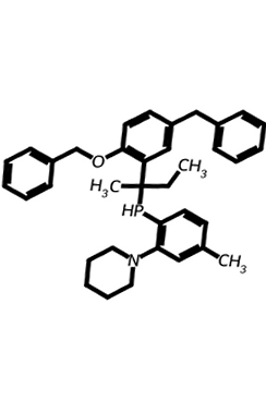 CCC(C)(Pc1ccc(C)cc1N1CCCCC1)c1cc(Cc2ccccc2)ccc1OCc1ccccc1